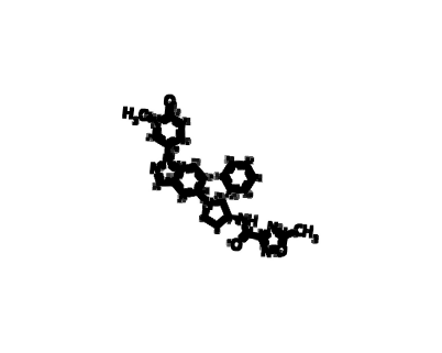 Cc1nc(C(=O)N[C@H]2CCN(c3ccc4c(cnn4-c4ccc(=O)n(C)c4)c3)[C@@H]2c2ccccc2)no1